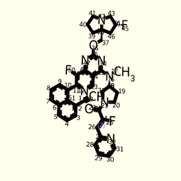 C#Cc1cccc2cccc(-c3ncc4c(N(C)[C@@H]5CCN(C(=O)/C(F)=C/c6ccccn6)C5)nc(OC[C@@]56CCCN5C[C@H](F)C6)nc4c3F)c12